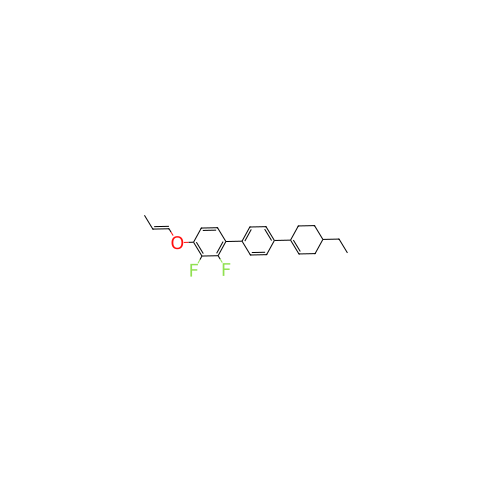 C/C=C/Oc1ccc(-c2ccc(C3=CCC(CC)CC3)cc2)c(F)c1F